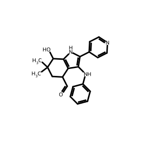 CC1(C)CC(C=O)c2c([nH]c(-c3ccncc3)c2Nc2ccccc2)C1O